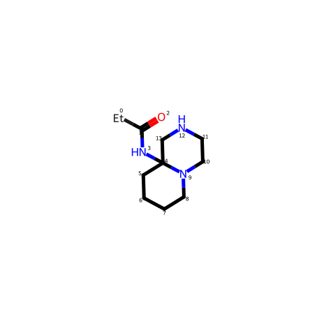 CCC(=O)NC12CCCCN1CCNC2